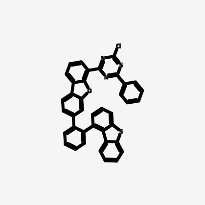 Clc1nc(-c2ccccc2)nc(-c2cccc3c2oc2cc(-c4ccccc4-c4cccc5sc6ccccc6c45)ccc23)n1